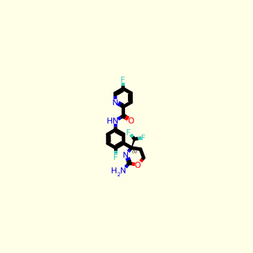 NC1=N[C@@](c2cc(NC(=O)c3ccc(F)cn3)ccc2F)(C(F)F)CCO1